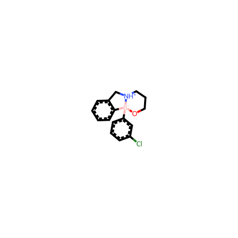 Clc1cccc([B-]23OCCC[NH+]2Cc2ccccc23)c1